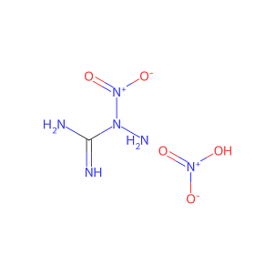 N=C(N)N(N)[N+](=O)[O-].O=[N+]([O-])O